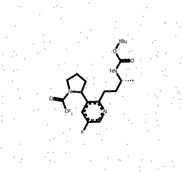 C[C@H](CCc1ncc(F)cc1C1CCCN1C(=O)C(F)(F)F)NC(=O)OC(C)(C)C